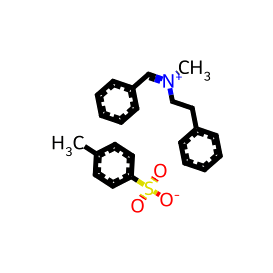 C[N+](=Cc1ccccc1)CCc1ccccc1.Cc1ccc(S(=O)(=O)[O-])cc1